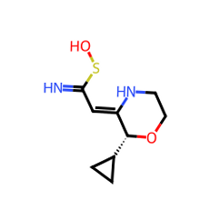 N=C(/C=C1\NCCO[C@@H]1C1CC1)SO